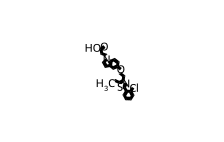 CCc1sc(-c2ccccc2Cl)nc1CCOc1ccc2c(ccn2CCC(=O)O)c1